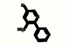 O=C(O)c1cc(Cl)cnc1-c1cccnc1